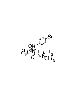 CB(O)N1C(=O)/C(=C/N(C)C)C[C@H]1Cc1ccc(Br)cc1